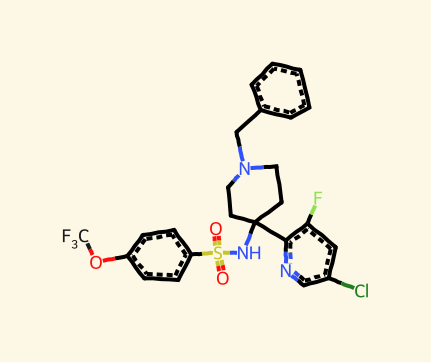 O=S(=O)(NC1(c2ncc(Cl)cc2F)CCN(Cc2ccccc2)CC1)c1ccc(OC(F)(F)F)cc1